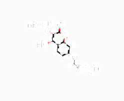 CCCCCOc1c(O)c2ccc(OCC(=O)O)cc2oc1=O